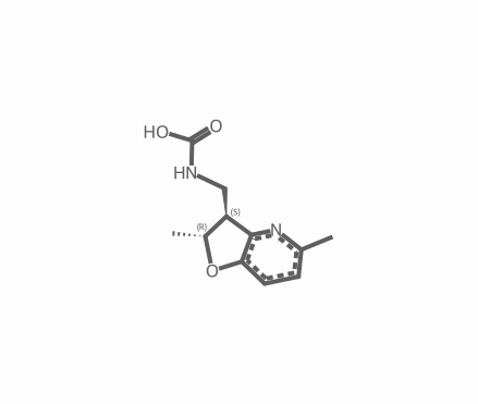 Cc1ccc2c(n1)[C@H](CNC(=O)O)[C@@H](C)O2